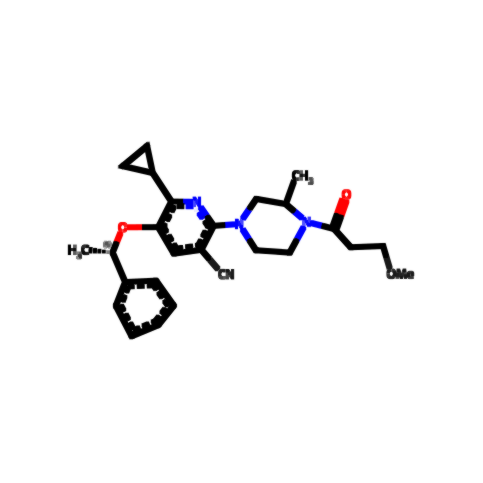 COCCC(=O)N1CCN(c2nc(C3CC3)c(O[C@@H](C)c3ccccc3)cc2C#N)CC1C